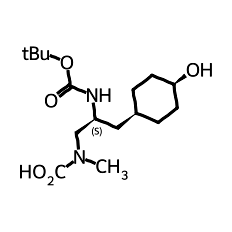 CN(C[C@H](C[C@H]1CC[C@@H](O)CC1)NC(=O)OC(C)(C)C)C(=O)O